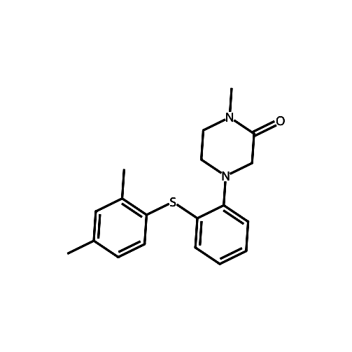 Cc1ccc(Sc2ccccc2N2CCN(C)C(=O)C2)c(C)c1